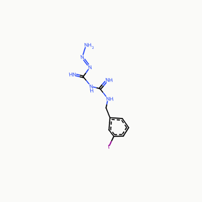 N=C(N=NN)NC(=N)NCc1cccc(I)c1